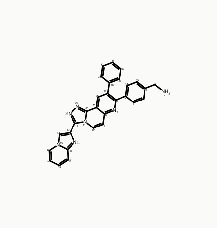 NCc1ccc(-c2nc3ccn4c(-c5cn6ccccc6n5)nnc4c3cc2-c2ccccc2)cc1